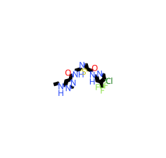 CCNc1cc(C(=O)NCc2ncc(C(=O)Nc3cc(C(F)(F)F)c(Cl)cn3)s2)ncn1